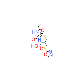 CCC(=O)NC1C(=O)N2C(C(=O)O)=C(CSc3nnc(C)o3)CS[C@@H]12